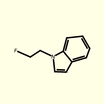 FCCn1c[c]c2ccccc21